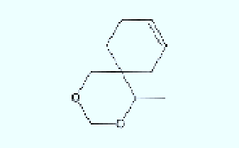 CC1OCOCC12CC=CCC2